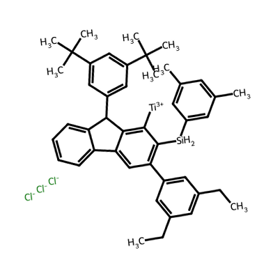 CCc1cc(CC)cc(-c2cc3c([c]([Ti+3])c2[SiH2]c2cc(C)cc(C)c2)C(c2cc(C(C)(C)C)cc(C(C)(C)C)c2)c2ccccc2-3)c1.[Cl-].[Cl-].[Cl-]